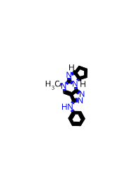 CN1C=C2C(Nc3ccccc3)=NN=C2N2C1=N[C@@H]1CCC[C@@H]12